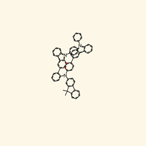 CC1(C)c2ccccc2-c2ccc(N(c3ccc(-c4ccc5c(c4)c4ccccc4n5-c4ccccc4)cc3)c3ccccc3-c3ccc4c(c3)c3ccccc3n4-c3ccccc3)cc21